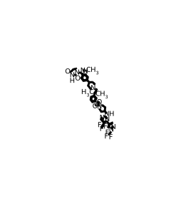 Cn1nc(N2CCC(=O)NC2=O)c2ccc(C3CCN(CC(C)(C)c4cccc(S(=O)(=O)N5CCC(Nc6ncc(C(F)(F)F)c(-c7cnn(CC(F)(F)F)c7)n6)CC5)c4)CC3)cc21